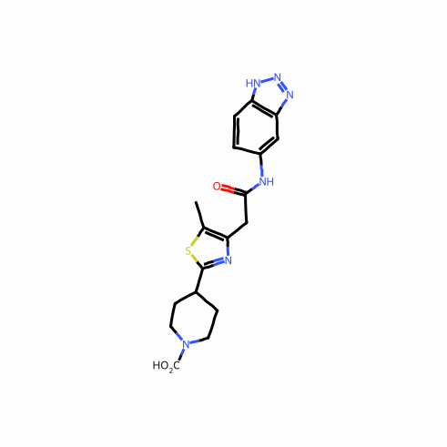 Cc1sc(C2CCN(C(=O)O)CC2)nc1CC(=O)Nc1ccc2[nH]nnc2c1